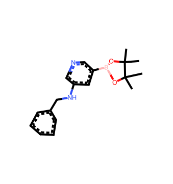 CC1(C)OB(c2cncc(NCc3ccccc3)c2)OC1(C)C